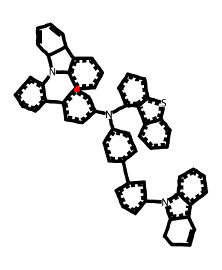 C1=CC2c3ccccc3N(c3ccccc3-c3ccc(N(c4ccc(-c5cccc(-n6c7c(c8ccccc86)C=CCC7)c5)cc4)c4cccc5sc6ccccc6c45)cc3)C2C=C1